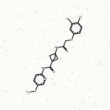 O=C(COc1ccc(Cl)c(Cl)c1)NC12CC(C(=O)Nc3ccc(OC(F)(F)F)cn3)(C1)C2